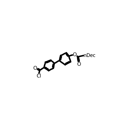 CCCCCCCCCCC(=O)Oc1ccc(-c2ccc(C(=O)Cl)cc2)cc1